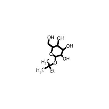 CCC(C)(C)OC1OC(CO)C(O)C(O)C1O